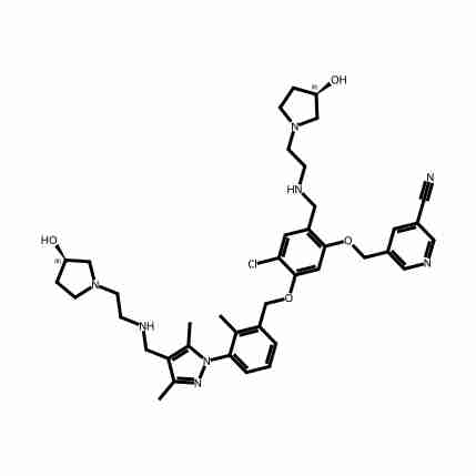 Cc1nn(-c2cccc(COc3cc(OCc4cncc(C#N)c4)c(CNCCN4CC[C@@H](O)C4)cc3Cl)c2C)c(C)c1CNCCN1CC[C@@H](O)C1